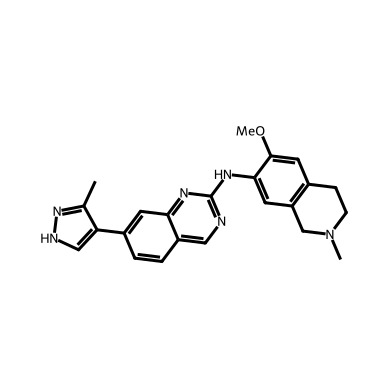 COc1cc2c(cc1Nc1ncc3ccc(-c4c[nH]nc4C)cc3n1)CN(C)CC2